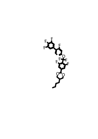 C=C(/C=C(F)\C(=C/C)c1cc(F)c(F)c(F)c1)OC(F)(F)c1c(F)cc(C2OCC(CCCC)CO2)cc1F